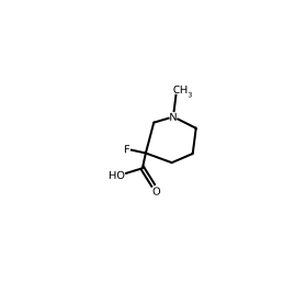 CN1CCCC(F)(C(=O)O)C1